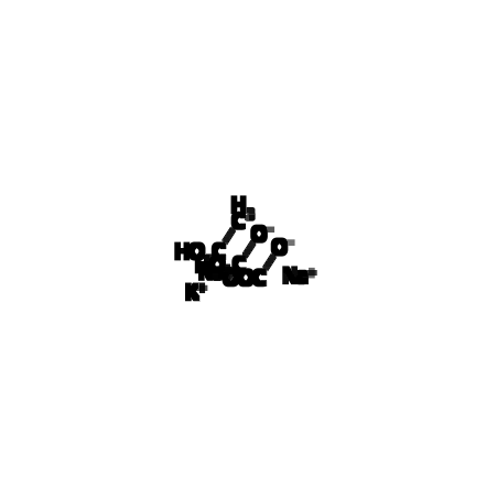 CC(=O)O.O=C([O-])O.O=C([O-])[O-].[K+].[Na+].[Na+]